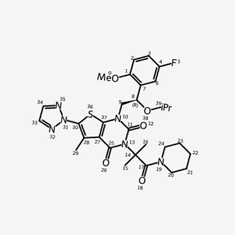 COc1ccc(F)cc1[C@H](Cn1c(=O)n(C(C)(C)C(=O)N2CCCCC2)c(=O)c2c(C)c(-n3nccn3)sc21)OC(C)C